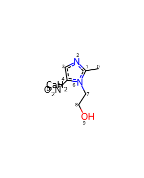 Cc1ncc([N+](=O)[O-])n1CCO.[CaH2]